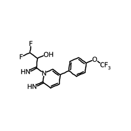 N=C(C(O)C(F)F)n1cc(-c2ccc(OC(F)(F)F)cc2)ccc1=N